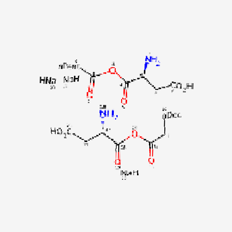 CCCCCC(=O)OC(=O)[C@@H](N)CC(=O)O.CCCCCCCCCCCC(=O)OC(=O)[C@@H](N)CC(=O)O.[NaH].[NaH].[NaH]